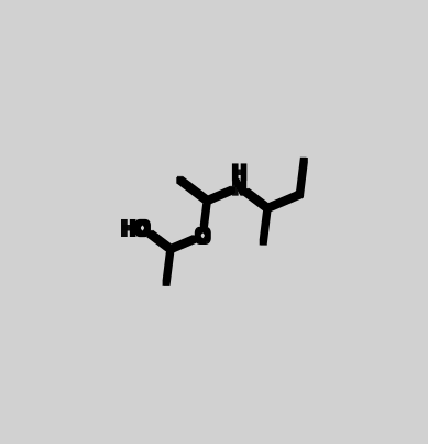 CCC(C)NC(C)OC(C)O